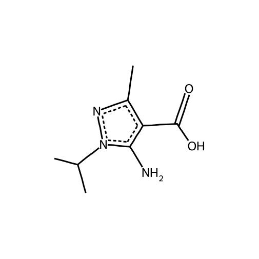 Cc1nn(C(C)C)c(N)c1C(=O)O